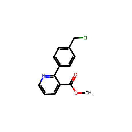 COC(=O)c1cccnc1-c1ccc(CCl)cc1